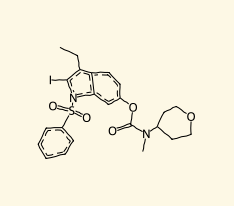 CCc1c(I)n(S(=O)(=O)c2ccccc2)c2cc(OC(=O)N(C)C3CCOCC3)ccc12